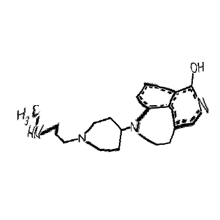 CNCCN1CCC(N2CCc3cnc(O)c4cccc2c34)CC1